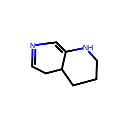 C1=NC=C2NCCCC2C1